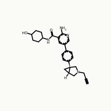 C#CCN1C[C@@H]2C[C@]2(c2ccc(-c3cnc(N)c(C(=O)NC4CCC(O)CC4)c3)cc2)C1